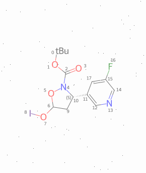 CC(C)(C)OC(=O)N1OC(OI)C[C@H]1c1cncc(F)c1